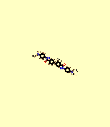 Cc1cc(C(=O)Nc2ccc(N(C)C)cc2)ccc1-c1ccc(C(=O)Nc2ccc(N(C)C)cc2)cc1